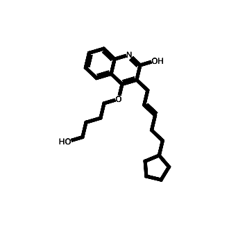 OCCCCOc1c(C/C=C/CCC2CCCC2)c(O)nc2ccccc12